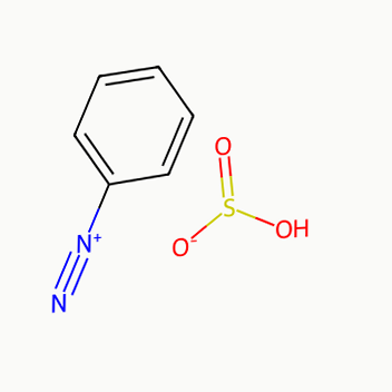 N#[N+]c1ccccc1.O=S([O-])O